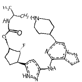 CC(C)NC(=O)O[C@@H]1CC[C@H](c2cc(Nc3nc(C4CCNCC4)cn4nccc34)n[nH]2)[C@H]1F